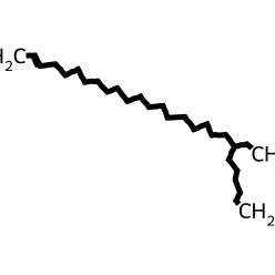 [CH2]/C=C/CCCCCCCCCCCCCCCCCC(CC)CCCCC[CH2]